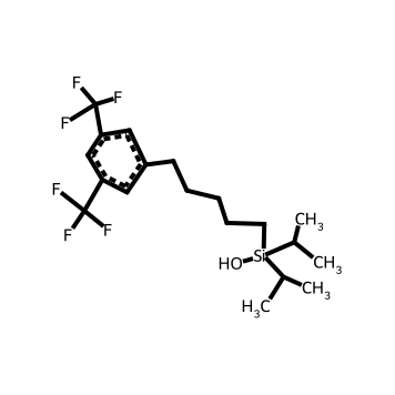 CC(C)[Si](O)(CCCCCc1cc(C(F)(F)F)cc(C(F)(F)F)c1)C(C)C